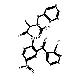 CC(C(=O)Nc1ccc([N+](=O)[O-])cc1C(=O)c1ccccc1F)N(Cc1ccccc1)C(=O)O